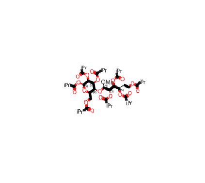 CO[C@@H](O[C@@H]1C(COC(=O)C(C)C)O[C@@H](OC(=O)C(C)C)C(OC(=O)C(C)C)[C@H]1OC(=O)C(C)C)[C@@H](OC(=O)C(C)C)C(OC(=O)C(C)C)[C@H](CCOC(=O)C(C)C)OC(=O)C(C)C